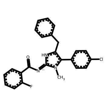 Cn1c(-c2ccc(Cl)cc2)c(Cc2ccccc2)[nH]/c1=N\C(=O)c1ccccc1F